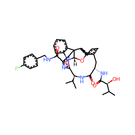 CC(C)[C@H](O)C(=O)N[C@H]1Cc2ccc3c(c2)C2(c4ccccc4N[C@H]2O3)c2oc(nc2C(=O)NCc2ccc(F)cc2)[C@H](C(C)C)NC1=O